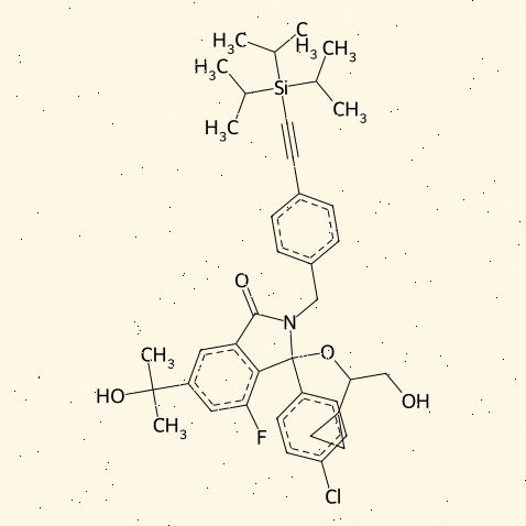 CC(C)[Si](C#Cc1ccc(CN2C(=O)c3cc(C(C)(C)O)cc(F)c3C2(OC(CO)C2CC2)c2ccc(Cl)cc2)cc1)(C(C)C)C(C)C